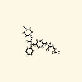 CN1CCN(CC(=O)N(c2ccccc2)c2ccc(NC(=O)/C=C\C=O)cc2)CC1